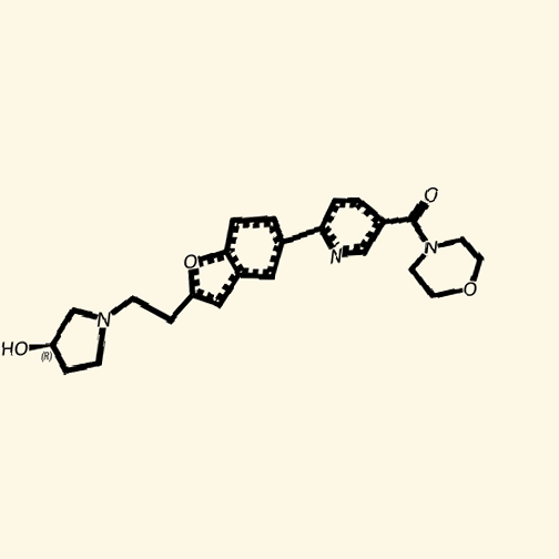 O=C(c1ccc(-c2ccc3oc(CCN4CC[C@@H](O)C4)cc3c2)nc1)N1CCOCC1